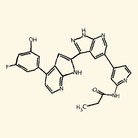 CCC(=O)Nc1cc(-c2cnc3[nH]nc(-c4cc5c(-c6cc(O)cc(F)c6)ccnc5[nH]4)c3c2)ccn1